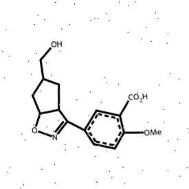 COc1ccc(C2=NOC3CC(CO)CC23)cc1C(=O)O